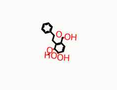 COC1C(CCc2ccccc2)=C(C(=O)O)C=CC1(O)O